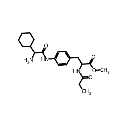 CCC(=O)NC(Cc1ccc(NC(=O)C(N)C2CCCCC2)cc1)C(=O)OC